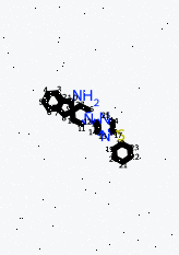 N[C@@H]1c2ccccc2CC12CCN(c1cnc(SC3CCCCC3)cn1)CC2